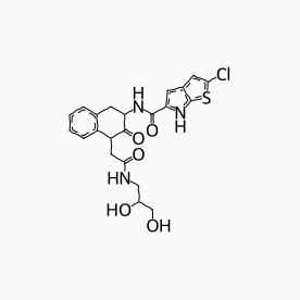 O=C(CC1C(=O)C(NC(=O)c2cc3cc(Cl)sc3[nH]2)Cc2ccccc21)NCC(O)CO